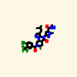 CNC(=O)c1cc(N2C(=O)C3C[C@H](C)N(C(=O)c4ccc(Br)c(C(F)(F)F)c4)CC3n3ncc(CC(C)C)c32)nn1C